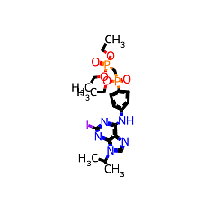 CCOP(=O)(CP(=O)(OCC)c1ccc(Nc2nc(I)nc3c2ncn3C(C)C)cc1)OCC